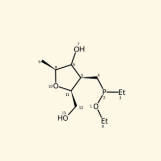 CCOP(CC)C[C@@H]1C(O)[C@H](C)O[C@@H]1CO